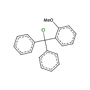 COc1ccccc1C(Cl)(c1ccccc1)c1ccccc1